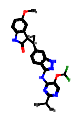 COc1ccc2c(c1)[C@]1(C[C@H]1c1ccc3c(Nc4nc(C(C)C)ncc4OC(F)F)n[nH]c3c1)C(=O)N2